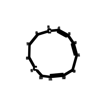 [CH]1C=CC=CCCCCCCC=C1